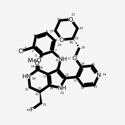 COc1c(Cl)cccc1Nc1c(-c2ccncc2OC[C@H]2COCCO2)[nH]c2c1C(=O)NC[C@@H]2CF